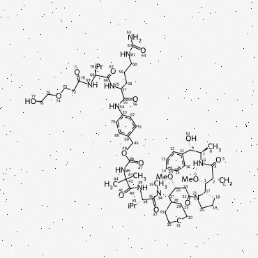 CO[C@H]([C@@H](C)C(=O)N[C@H](C)[C@@H](O)c1ccccc1)[C@@H]1CCCN1C(=O)C[C@@H](OC)[C@H](C1CCCCC1)N(C)C(=O)[C@@H](NC(=O)C(C)(C)NC(=O)OCc1ccc(NC(=O)C(CCCNC(N)=O)NC(=O)[C@@H](NC(=O)CCOCCO)C(C)C)cc1)C(C)C